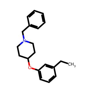 CCc1cccc(OC2CCN(Cc3ccccc3)CC2)c1